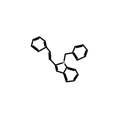 C(=C\c1cc2ccccc2n1Cc1ccccc1)/c1ccccc1